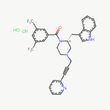 Cl.Cl.O=C(c1cc(C(F)(F)F)cc(C(F)(F)F)c1)N1CCN(CC#Cc2ccccn2)C[C@H]1Cc1c[nH]c2ccccc12